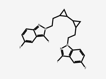 Fc1ccc2nn(CCC3CC3C3CC3CCn3nc(I)c4cc(F)ccc43)c(I)c2c1